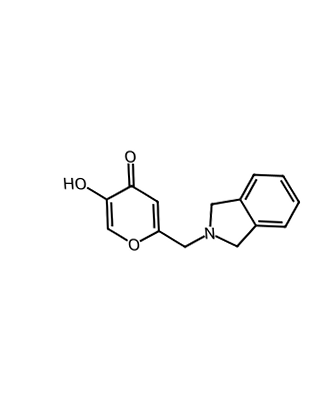 O=c1cc(CN2Cc3ccccc3C2)occ1O